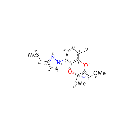 CO/C=C(\Oc1cc(-n2ccc(CSC)n2)ccc1C)C(=O)OC